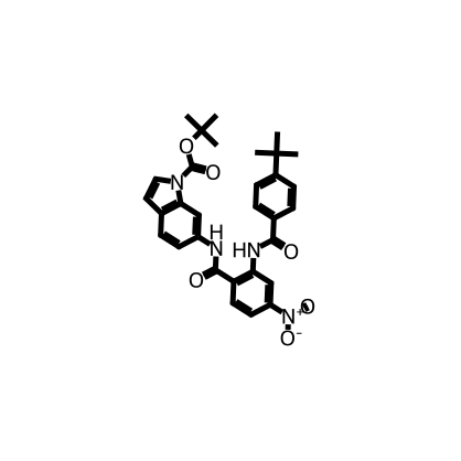 CC(C)(C)OC(=O)n1ccc2ccc(NC(=O)c3ccc([N+](=O)[O-])cc3NC(=O)c3ccc(C(C)(C)C)cc3)cc21